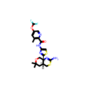 Cc1cc(OC(F)F)cnc1C(=O)Nc1csc([C@]23COC(C)(C)C[C@H]2CSC(N)=N3)n1